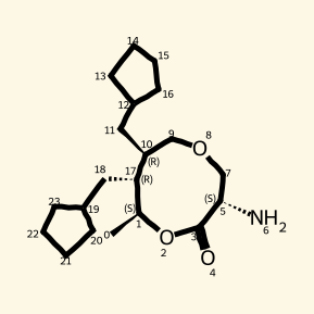 C[C@@H]1OC(=O)[C@@H](N)COC[C@H](CC2CCCC2)[C@H]1CC1CCCC1